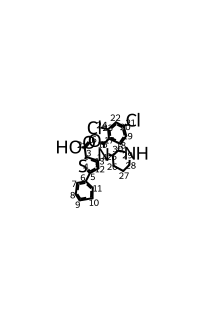 O=C(O)c1sc(-c2ccccc2)cc1N(C(=O)c1ccc(Cl)cc1Cl)C1CCCNC1